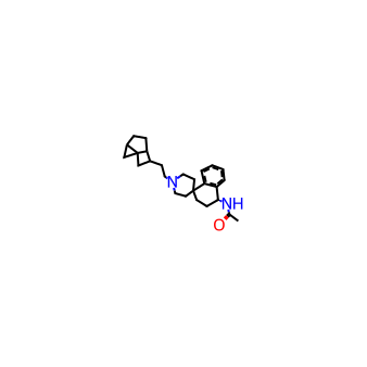 CC(=O)N[C@H]1CCC2(CCN(CCC3CC45CC4CCC35)CC2)c2ccccc21